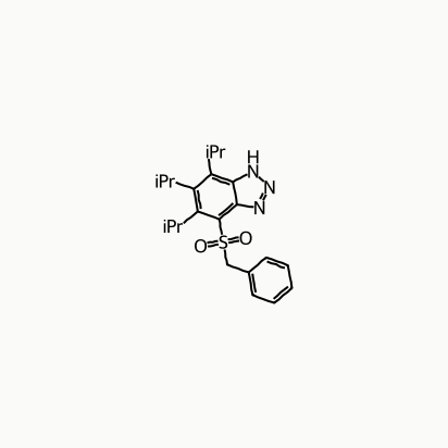 CC(C)c1c(C(C)C)c(C(C)C)c2[nH]nnc2c1S(=O)(=O)Cc1ccccc1